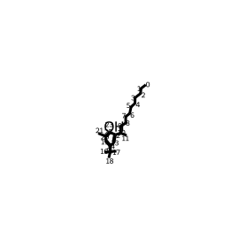 CCCCCCCCCCC(C)c1cc(C(C)(C)C)cc(C)c1O